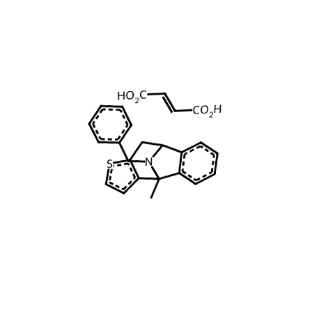 CC12c3ccccc3C(Cc3sccc31)N2Cc1ccccc1.O=C(O)/C=C/C(=O)O